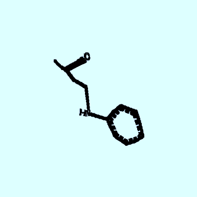 CC(=O)CCNc1ccccc1